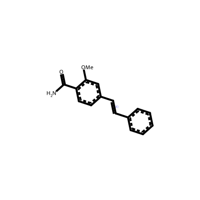 COc1cc(/C=C/c2ccccc2)ccc1C(N)=O